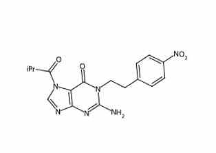 CC(C)C(=O)n1cnc2nc(N)n(CCc3ccc([N+](=O)[O-])cc3)c(=O)c21